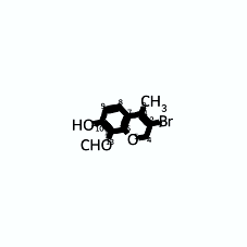 CC1=C(Br)COc2c1ccc(O)c2C=O